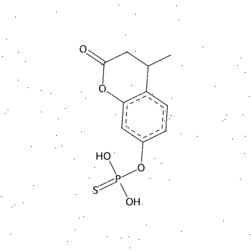 CC1CC(=O)Oc2cc(OP(O)(O)=S)ccc21